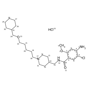 COc1cc(N)c(Cl)cc1C(=O)NCC1CCN(CCCCCOCC2CCCCC2)CC1.Cl